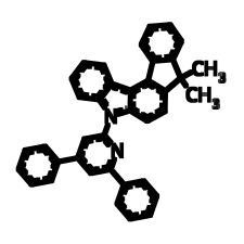 CC1(C)c2ccccc2-c2c1ccc1c2c2ccccc2n1-c1cc(-c2ccccc2)cc(-c2ccccc2)n1